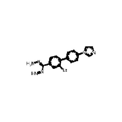 CCc1cc(/C(N=N)=N/N)ccc1-c1ccc(-n2ccnc2)cc1